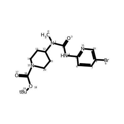 CN(C(=O)Nc1ccc(Br)cn1)C1CCN(C(=O)OC(C)(C)C)CC1